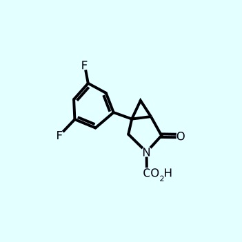 O=C(O)N1CC2(c3cc(F)cc(F)c3)CC2C1=O